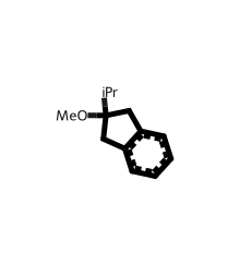 COC1(C(C)C)Cc2ccccc2C1